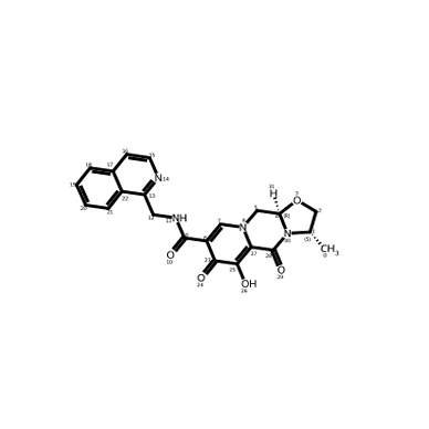 C[C@H]1CO[C@@H]2Cn3cc(C(=O)NCc4nccc5ccccc45)c(=O)c(O)c3C(=O)N12